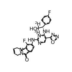 [2H]C([2H])(O)[C@@H](Nc1nc(Nc2ccc3c(=O)n4n(c3c2F)CC=CC4)ncc1-c1nnco1)c1ccc(F)cc1